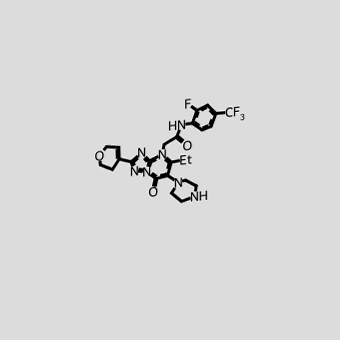 CCc1c(N2CCNCC2)c(=O)n2nc(C3=CCOCC3)nc2n1CC(=O)Nc1ccc(C(F)(F)F)cc1F